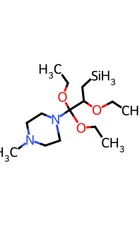 CCOC(C[SiH3])C(OCC)(OCC)N1CCN(C)CC1